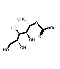 CCCCCCCCC(=O)O[C@@H](C=O)[C@@H](O)[C@H](O)[C@H](O)CO